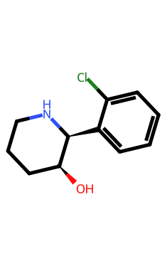 O[C@H]1CCCN[C@H]1c1ccccc1Cl